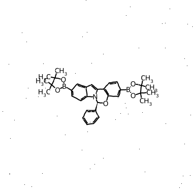 CC1(C)OB(c2ccc3c(c2)O[C@@H](c2ccccc2)n2c-3cc3cc(B4OC(C)(C)C(C)(C)O4)ccc32)OC1(C)C